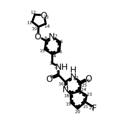 O=C(NCc1ccnc(OC2CCOC2)c1)c1nc2ccc(F)cc2c(=O)[nH]1